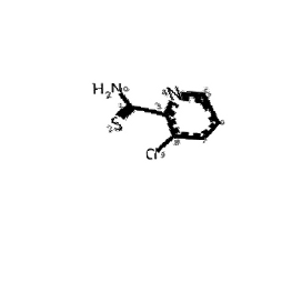 NC(=S)c1ncccc1Cl